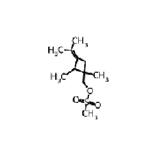 CC(C)=C1CC(C)(COS(C)(=O)=O)C1C